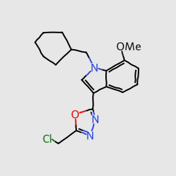 COc1cccc2c(-c3nnc(CCl)o3)cn(CC3CCCCC3)c12